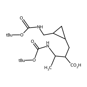 CC(NC(=O)OC(C)(C)C)C(CC1CC1CNC(=O)OC(C)(C)C)C(=O)O